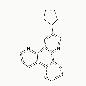 c1cnc2c(c1)c1ncccc1c1ncc(C3CCCC3)cc21